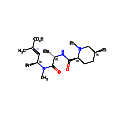 CC[C@H]1CC[C@@H](C(=O)N[C@H](C(=O)N(C)[C@H](/C=C(\C)C(=O)O)C(C)C)C(C)(C)C)N(C(C)C)C1